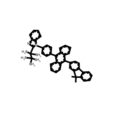 BC(B)(B)C(B)(B)c1nc2ccccc2n1-c1ccc(-c2c3ccccc3c(-c3ccc4c(c3)C(C)(C)c3ccccc3-4)c3ccccc23)cc1